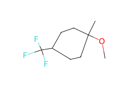 COC1(C)CCC(C(F)(F)F)CC1